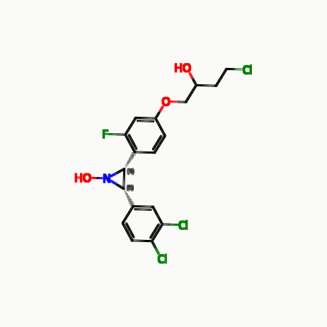 OC(CCCl)COc1ccc([C@@H]2[C@H](c3ccc(Cl)c(Cl)c3)N2O)c(F)c1